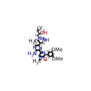 COc1cc(OC)cc(-c2nc(-c3nc(/C(C=N)=C(\C)NC[C@H](O)CC(F)(F)F)cnc3N)cn(C)c2=O)c1